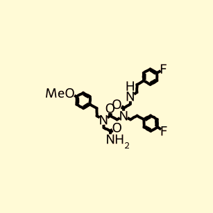 COc1ccc(CCN(CC(N)=O)C(=O)CN(CCc2ccc(F)cc2)C(=O)CNCCc2ccc(F)cc2)cc1